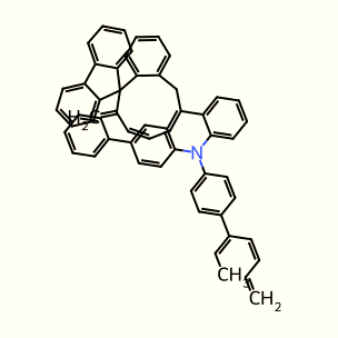 C=C/C=C\C(=C/C)c1ccc(N(c2ccc(-c3ccccc3)cc2)c2ccccc2/C2=C/C=C\C(=C)C3(c4ccccc4C2)c2ccccc2-c2ccccc23)cc1